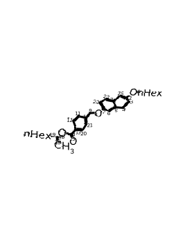 CCCCCCOc1ccc2cc(OCc3ccc(C(=O)O[C@H](C)CCCCCC)cc3)ccc2c1